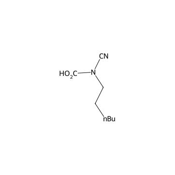 CCCCCCN(C#N)C(=O)O